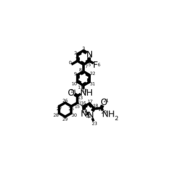 Cc1ccnc(F)c1-c1ccc(NC(=O)[C@H](c2cc(C(N)=O)n(C)n2)C2CCCCC2)cc1